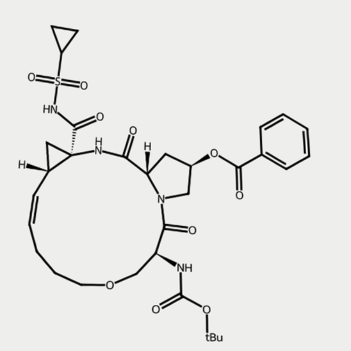 CC(C)(C)OC(=O)N[C@H]1COCCC/C=C\[C@@H]2C[C@@]2(C(=O)NS(=O)(=O)C2CC2)NC(=O)[C@@H]2C[C@@H](OC(=O)c3ccccc3)CN2C1=O